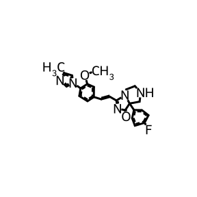 COc1cc(/C=C/C2=NC(=O)C3(c4ccc(F)cc4)CNCCN23)ccc1-n1cnc(C)c1